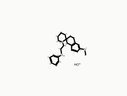 COc1ccc2c(c1)CCC1(CCCCN1CCOc1ccccc1)C2.Cl